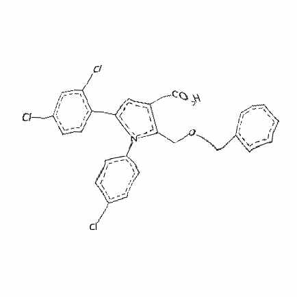 O=C(O)c1cc(-c2ccc(Cl)cc2Cl)n(-c2ccc(Cl)cc2)c1COCc1ccccc1